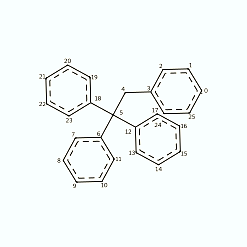 [c]1ccc(CC(c2ccccc2)(c2ccccc2)c2ccccc2)cc1